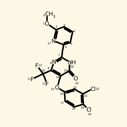 COc1cccc(-c2nc(C(F)(F)F)c(Oc3ccc(Cl)c(Cl)c3)c(=O)[nH]2)n1